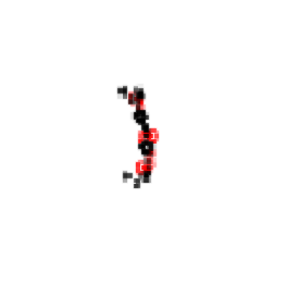 C=CC(=O)OCOc1ccc(OC(=O)C#Cc2ccc(COC(=O)C=C)cc2)cc1